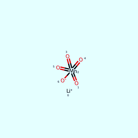 [Li+].[O]=[Mn](=[O])(=[O])(=[O])[O-]